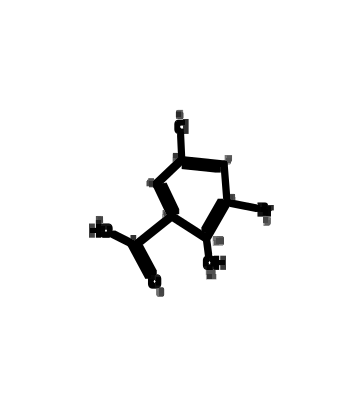 O=C(O)c1cc(Cl)cc(Br)c1O